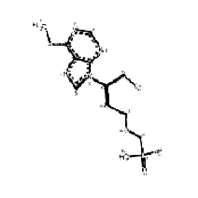 CSc1ncnc2c1ncn2C(CO)CCOCP(=O)(O)O